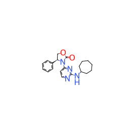 O=C1OC[C@H](c2ccccc2)N1c1ccnc(NC2CCCCCC2)n1